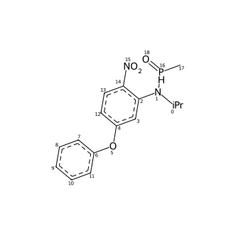 CC(C)N(c1cc(Oc2ccccc2)ccc1[N+](=O)[O-])[PH](C)=O